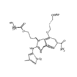 CCn1nc(C)cc1Nc1nc2cc(C(N)=O)cc(OCCCOC)c2n1CCCOC(=O)NC(C)(C)C